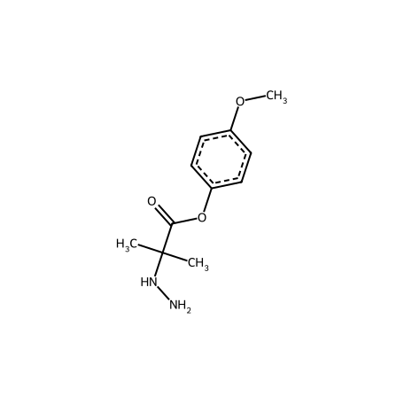 COc1ccc(OC(=O)C(C)(C)NN)cc1